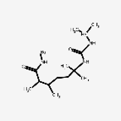 CC(CCC(C)(C)NC(=O)N[SH](C)C)C(C)C(=O)NC(C)(C)C